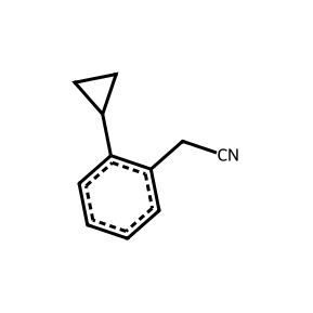 N#CCc1ccccc1C1CC1